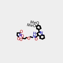 COc1ccc(-c2cc(C(=O)NCCOCCC(=O)ON3C(=O)CCC3=O)c3ccccc3n2)cc1OC